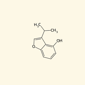 CC(C)c1coc2cccc(O)c12